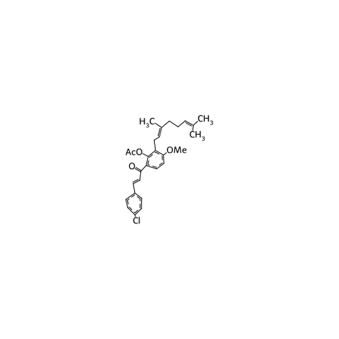 COc1ccc(C(=O)C=Cc2ccc(Cl)cc2)c(OC(C)=O)c1C/C=C(\C)CCC=C(C)C